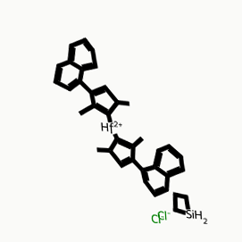 C1C[SiH2]C1.CC1=[C]([Hf+2][C]2=C(C)C(c3cccc4ccccc34)=CC2C)C(C)C=C1c1cccc2ccccc12.[Cl-].[Cl-]